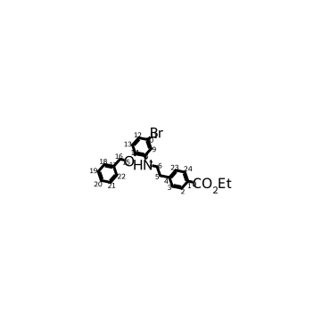 CCOC(=O)c1ccc(CCNc2cc(Br)ccc2OCc2ccccc2)cc1